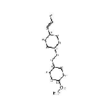 CC=CC1CCC(CCC2CCC(OCC)CC2)CC1